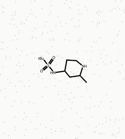 CC1CC(NS(=O)(=O)C(C)(C)C)CCN1